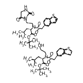 CC(C)C[C@H](C(=O)OC(C)(C)C)N(CCN1C(=O)CNC1=O)S(=O)(=O)Cc1ccc2sccc2c1.CC(C)C[C@H](C(=O)OC(C)(C)C)N(CCO)S(=O)(=O)Cc1ccc2sccc2c1